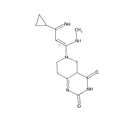 CN/C(=C\C(=N)C1CC1)N1CCC2=NC(=O)NC(=O)C2C1